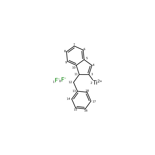 [F-].[F-].[Ti+2][C]1=Cc2ccccc2C1Cc1ccccc1